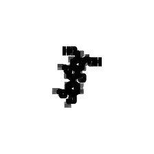 C=C(C(=O)c1cc(CO)c(CO)cc1OC)c1ccc(OC)c(OC)c1